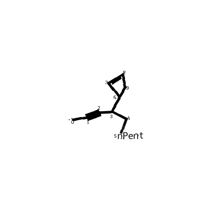 [CH2]C#CC(CCCCCC)C1C=CC1